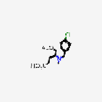 CC(=O)OC/C(=C/CC(=O)O)N(C)Cc1ccc(Cl)cc1